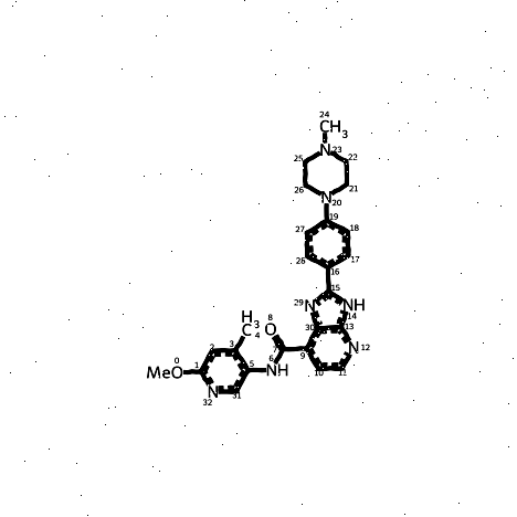 COc1cc(C)c(NC(=O)c2ccnc3[nH]c(-c4ccc(N5CCN(C)CC5)cc4)nc23)cn1